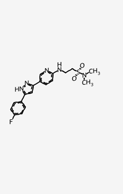 CN(C)S(=O)(=O)CCNc1ccc(-c2cc(-c3ccc(F)cc3)[nH]n2)cn1